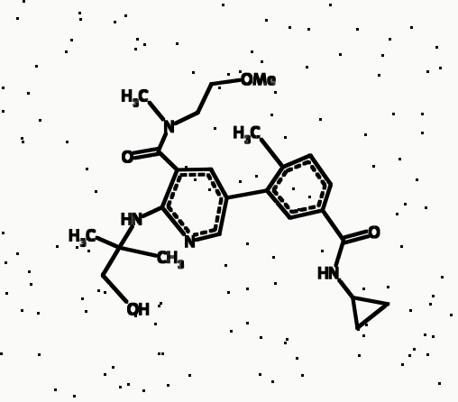 COCCN(C)C(=O)c1cc(-c2cc(C(=O)NC3CC3)ccc2C)cnc1NC(C)(C)CO